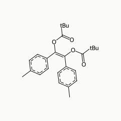 Cc1ccc(C(OC(=O)C(C)(C)C)=C(OC(=O)C(C)(C)C)c2ccc(C)cc2)cc1